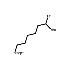 CCCCCCCCCCCC[C](CC)C(C)(C)C